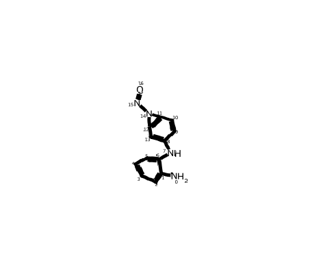 Nc1ccccc1Nc1ccc2c(c1)N2N=O